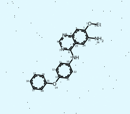 CCOc1cc2ncnc(Nc3ccc(Oc4ccccc4)cc3)c2cc1N